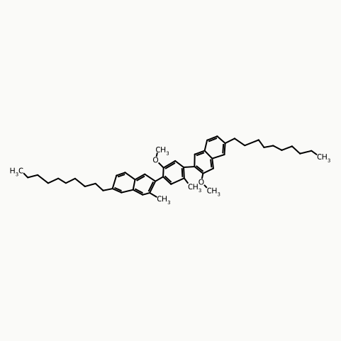 CCCCCCCCCCc1ccc2cc(-c3cc(C)c(-c4cc5ccc(CCCCCCCCCC)cc5cc4OC)cc3OC)c(C)cc2c1